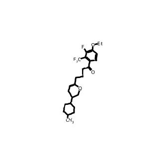 CCOc1ccc(C(=O)CCCC2CCC(C3CCC(C)CC3)CO2)c(C(F)(F)F)c1F